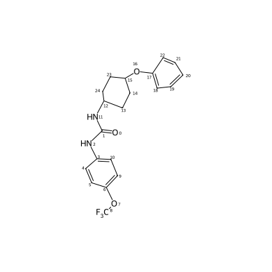 O=C(Nc1ccc(OC(F)(F)F)cc1)NC1CCC(Oc2ccccc2)CC1